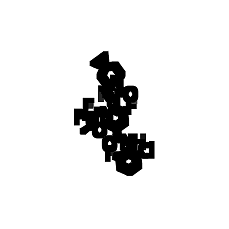 C[C@H](Oc1nc(-n2nc3n(c2=O)CCC2(CC2)C3)c(F)cc1C(=O)Nc1c(F)cccc1Cl)C(F)(F)F